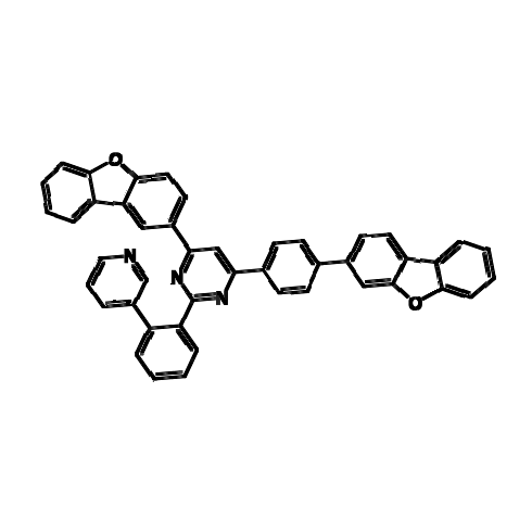 c1cncc(-c2ccccc2-c2nc(-c3ccc(-c4ccc5c(c4)oc4ccccc45)cc3)cc(-c3ccc4oc5ccccc5c4c3)n2)c1